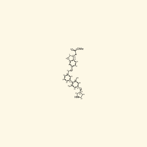 COC(=O)C[C@@H]1COc2cc(OCc3cccc(-c4c(C)cc(O[C@H]5CCNC5)cc4C)c3)ccc21